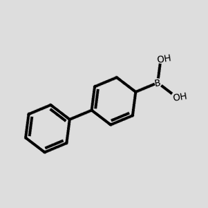 OB(O)C1C=CC(c2ccccc2)=CC1